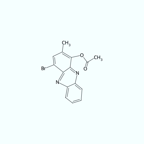 CC(=O)Oc1c(C)cc(Br)c2nc3ccccc3nc12